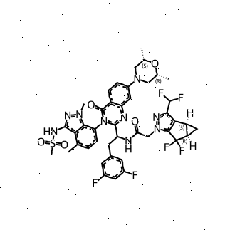 Cc1ccc(-n2c(C(Cc3cc(F)cc(F)c3)NC(=O)Cn3nc(C(F)F)c4c3C(F)(F)[C@@H]3C[C@H]43)nc3cc(N4C[C@@H](C)O[C@@H](C)C4)ccc3c2=O)c2c1c(NS(C)(=O)=O)nn2C